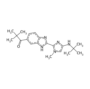 Cn1cc(NC(C)(C)C)nc1-c1nc2ccc(C(=O)C(C)(C)C)cc2[nH]1